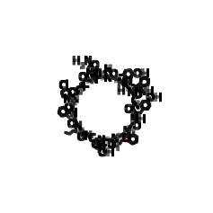 CCCC[C@H]1C(=O)N(C)CC(=O)N[C@@H](CC(=O)O)C(=O)N[C@@H](C(C)C)C(=O)N(C)[C@@H](Cc2ccccc2)C(=O)N[C@H]2Cc3ccc(O)cc3N(CC(=O)N[C@@H](Cc3c[nH]c4ccccc34)C(=O)N[C@@H](Cc3ccc(O)cc3)C(=O)N[C@@H](CC(C)C)C(=O)N[C@H](C(=O)NCC(N)=O)CSCC(=O)N[C@@H](Cc3ccc(Cl)cc3)C(=O)N(C)[C@@H](Cc3ccccc3)C(=O)N1C)C2=O